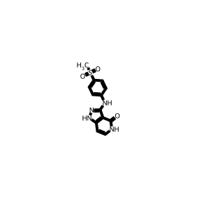 CS(=O)(=O)c1ccc(Nc2n[nH]c3cc[nH]c(=O)c23)cc1